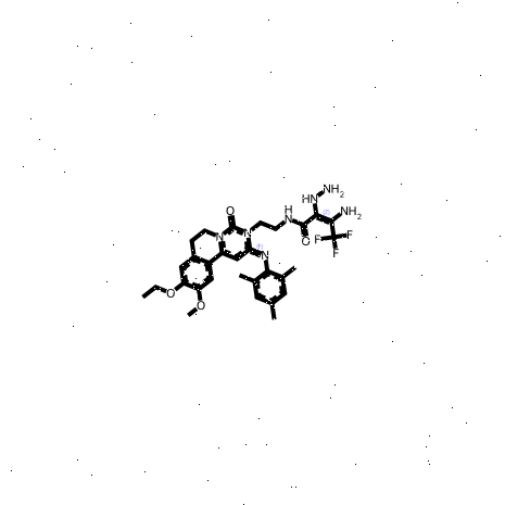 CCOc1cc2c(cc1OC)-c1c/c(=N\c3c(C)cc(C)cc3C)n(CCNC(=O)/C(NN)=C(/N)C(F)(F)F)c(=O)n1CC2